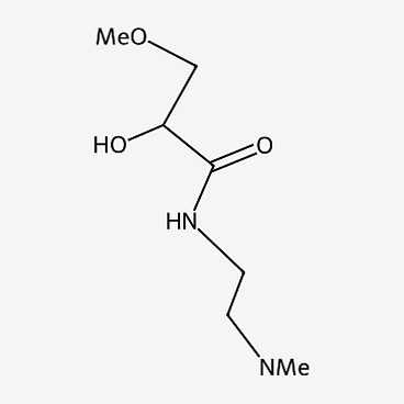 CNCCNC(=O)C(O)COC